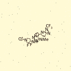 CNc1nc(N[C@@H]2CCN(C3COC3)CC2(F)F)nn2ccc(-c3ccc4ncn(CC(F)(F)F)c4n3)c12